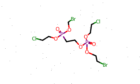 O=P(CCOP(=O)(OCCCl)OCCBr)(OCBr)OCCCl